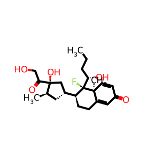 CCC[C@H](O)[C@@]1(F)[C@H]([C@@H]2C[C@@H](C)[C@](O)(C(=O)CO)C2)CCC2=CC(=O)C=C[C@@]21C